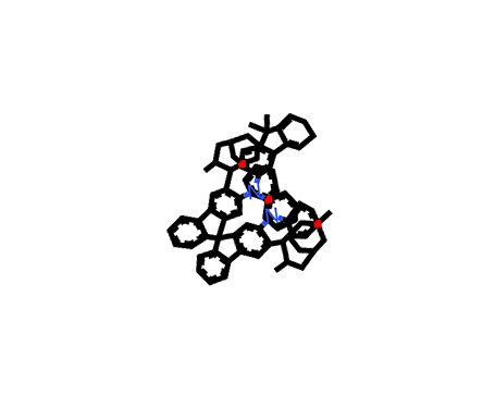 CC1CC2CC(C)C(c3cc4c(cc3N(c3ccccc3)c3ccccc3)C3(c5ccccc5-c5cc(C6C(C)CC7CCCC6C7)c(N(c6ccccc6)c6ccc7c(c6)C6=CCCC=C6C7(C)C)cc53)c3ccccc3-4)C(C1)C2